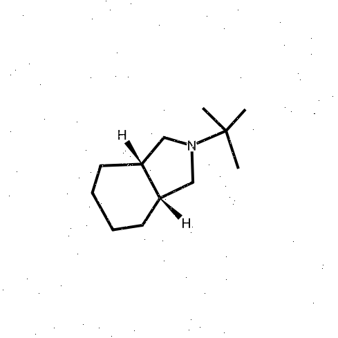 CC(C)(C)N1C[C@H]2CCCC[C@H]2C1